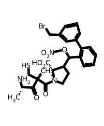 C[C@H](N)C(=O)C(C)(CS)C(=O)N1CCC(C(O[N+](=O)[O-])c2[c]cccc2-c2cccc(CBr)c2)[C@H]1C(=O)O